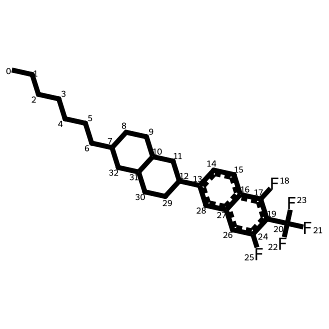 CCCCCCCC1CCC2CC(c3ccc4c(F)c(C(F)(F)F)c(F)cc4c3)CCC2C1